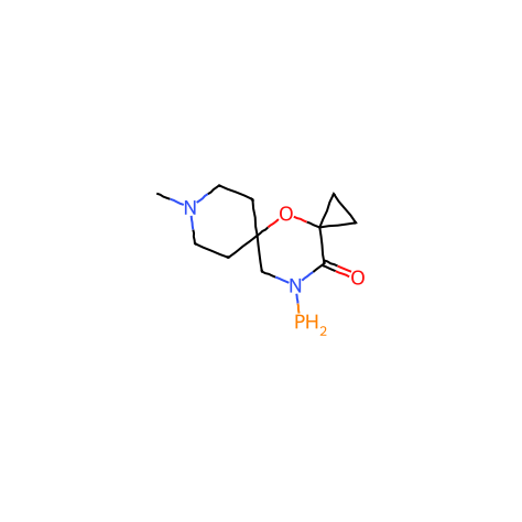 CN1CCC2(CC1)CN(P)C(=O)C1(CC1)O2